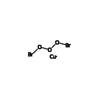 BrOOOBr.[Cu]